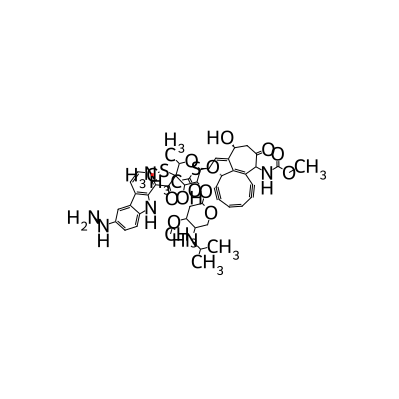 COC(=O)NC1C(=O)C[C@H](O)/C(=C/CSC(C)=O)C2=C1C#C/C=C\C#C[C@@H]2OC1OC(C)C(SC)(C(=O)c2nccc3c2[nH]c2ccc(NN)cc23)C(O)C1OC1CC(OC)C(NC(C)C)CO1